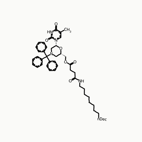 CCCCCCCCCCCCCCCCCCNC(=O)CCC(=O)OC[C@@H]1CN(C(c2ccccc2)(c2ccccc2)c2ccccc2)C[C@H](n2cc(C)c(=O)[nH]c2=O)O1